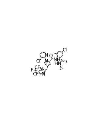 Cc1cc(Cl)cc(C(=O)NC2CC2)c1NC(=O)c1cc(Cn2ncc(C(F)(C(F)(F)F)C(F)(F)F)n2)nn1-c1ncccc1Cl